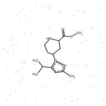 COC(=O)C1CC(n2nc(C)cc2C(C)C)CCN1